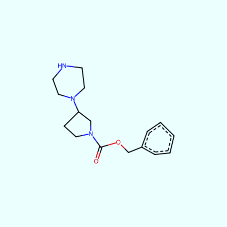 O=C(OCc1ccccc1)N1CCC(N2CCNCC2)C1